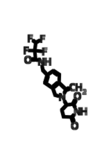 C=C1c2ccc(CNC(=O)C(F)(F)C(F)F)cc2CN1C1CCC(=O)NC1=O